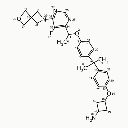 CC(Oc1ccc(C(C)(C)c2ccc(OC3CC(N)C3)cc2)cc1)c1ncnc(N2CC3(COC3)C2)c1F